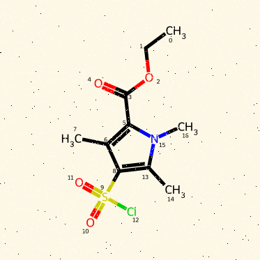 CCOC(=O)c1c(C)c(S(=O)(=O)Cl)c(C)n1C